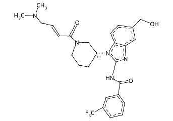 CN(C)CC=CC(=O)N1CCC[C@@H](n2c(NC(=O)c3cccc(C(F)(F)F)c3)nc3cc(CO)ccc32)C1